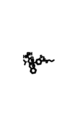 CCCSN1CSc2cc(S(=O)(=O)N(Cc3ccccc3)[C@@H](C(=O)NO)C(C)C)ccc21